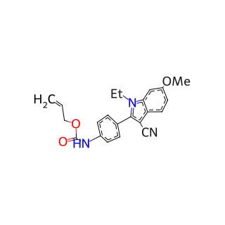 C=CCOC(=O)Nc1ccc(-c2c(C#N)c3ccc(OC)cc3n2CC)cc1